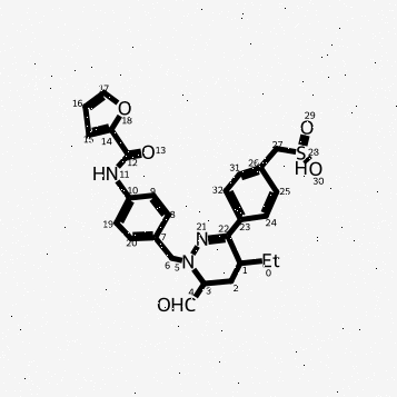 CCC1CC(C=O)N(Cc2ccc(NC(=O)c3ccco3)cc2)N=C1c1ccc(C[SH](=O)=O)cc1